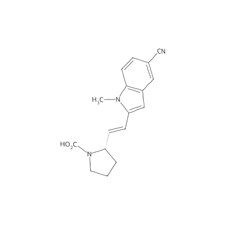 Cn1c(C=C[C@@H]2CCCN2C(=O)O)cc2cc(C#N)ccc21